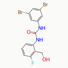 O=C(Nc1cc(Br)cc(Br)c1)Nc1cccc(F)c1CO